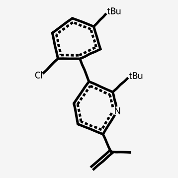 C=C(C)c1ccc(-c2cc(C(C)(C)C)ccc2Cl)c(C(C)(C)C)n1